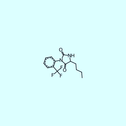 CCCCC1NC(=O)N(c2ccccc2C(F)(F)F)C1=O